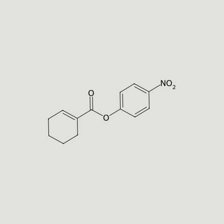 O=C(Oc1ccc([N+](=O)[O-])cc1)C1=CCCCC1